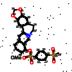 COc1ccc2cc3[n+](cc2c1OS(=O)(=O)c1ccc(S(C)(=O)=O)cc1)CCc1cc2c(cc1-3)OCO2